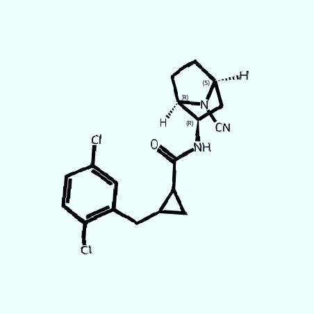 N#CN1[C@H]2CC[C@@H]1[C@H](NC(=O)C1CC1Cc1cc(Cl)ccc1Cl)C2